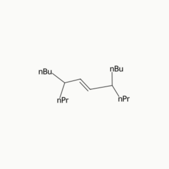 CCCCC(C=CC(CCC)CCCC)CCC